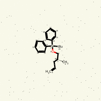 C=CC[C@@H](C)CO[Si](c1ccccc1)(c1ccccc1)C(C)(C)C